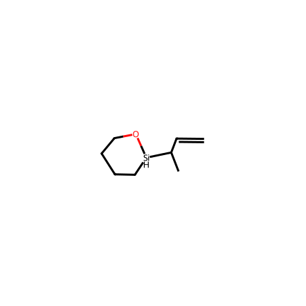 C=CC(C)[SiH]1CCCCO1